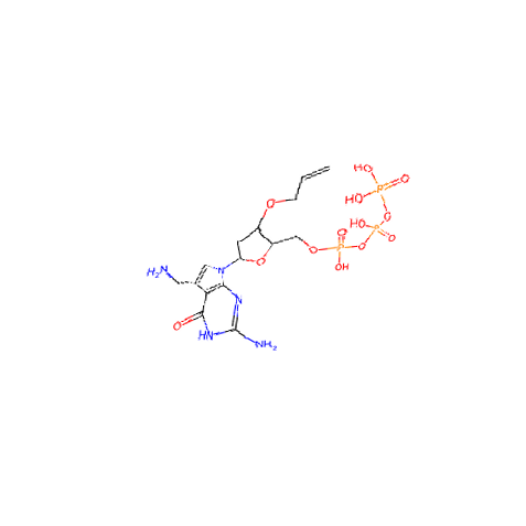 C=CCOC1CC(n2cc(CN)c3c(=O)[nH]c(N)nc32)OC1COP(=O)(O)OP(=O)(O)OP(=O)(O)O